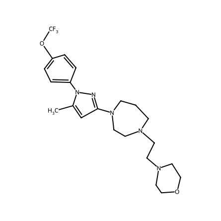 Cc1cc(N2CCCN(CCN3CCOCC3)CC2)nn1-c1ccc(OC(F)(F)F)cc1